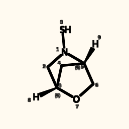 SN1C[C@@H]2C[C@H]1CO2